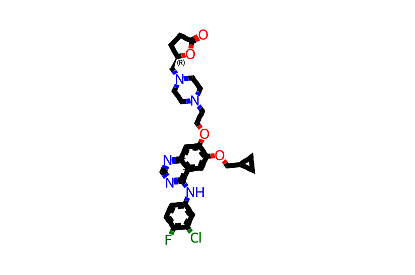 O=C1CC[C@H](CN2CCN(CCOc3cc4ncnc(Nc5ccc(F)c(Cl)c5)c4cc3OCC3CC3)CC2)O1